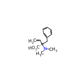 C=C[C@](Cc1ccccc1)(C(=O)O)N(C)C